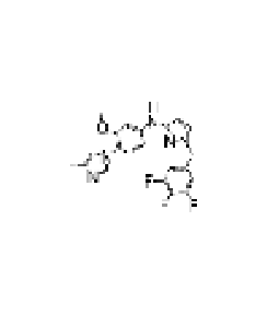 COc1cc(Nc2ccn(Cc3cc(F)c(F)c(F)c3)n2)ccc1-n1cnc(C)c1